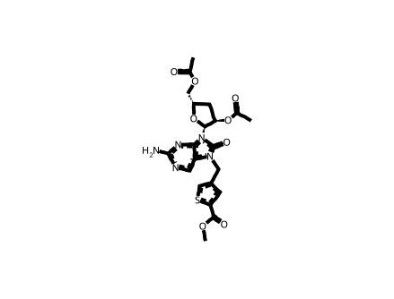 COC(=O)c1cc(Cn2c(=O)n([C@@H]3O[C@H](COC(C)=O)C[C@H]3OC(C)=O)c3nc(N)ncc32)cs1